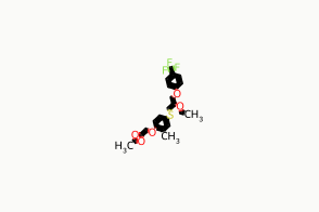 CCOC(COc1ccc(C(F)(F)F)cc1)CSc1ccc(OCC2OC(C)O2)c(C)c1